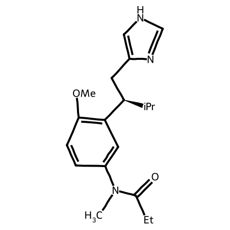 CCC(=O)N(C)c1ccc(OC)c([C@@H](Cc2c[nH]cn2)C(C)C)c1